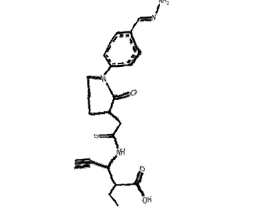 C#CC(NC(=O)CC1CCCN(c2ccc(C=NN)cc2)C1=O)C(CC)C(=O)O